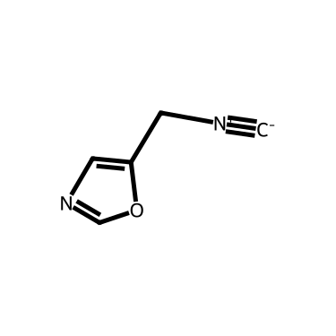 [C-]#[N+]Cc1cnco1